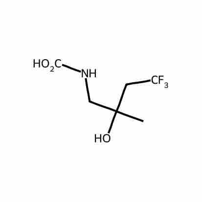 CC(O)(CNC(=O)O)CC(F)(F)F